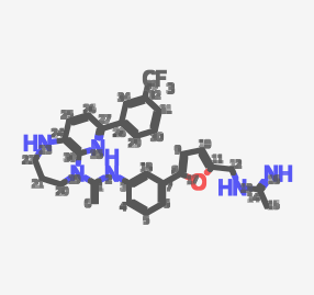 C=C(Nc1cccc(-c2ccc(CNC(C)=N)o2)c1)N1CCCNc2ccc(-c3cccc(C(F)(F)F)c3)nc21